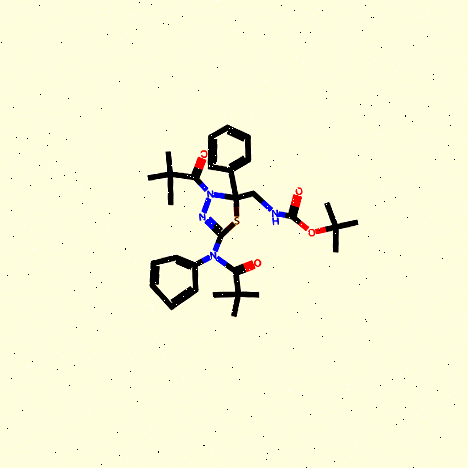 CC(C)(C)OC(=O)NCC1(c2ccccc2)SC(N(C(=O)C(C)(C)C)c2ccccc2)=NN1C(=O)C(C)(C)C